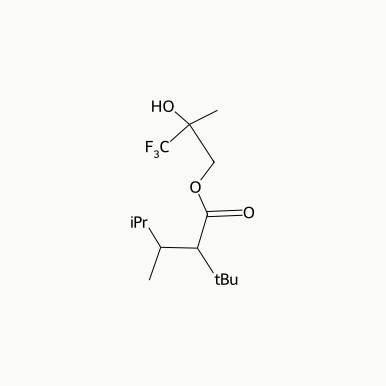 CC(C)C(C)C(C(=O)OCC(C)(O)C(F)(F)F)C(C)(C)C